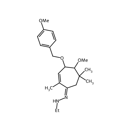 CCNN=C1CC(C)(C)C(OC)C(OCc2ccc(OC)cc2)C=C1C